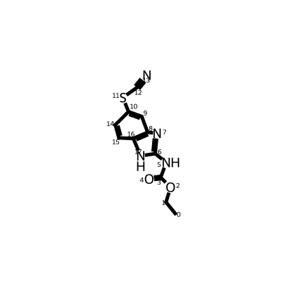 CCOC(=O)Nc1nc2cc(SC#N)ccc2[nH]1